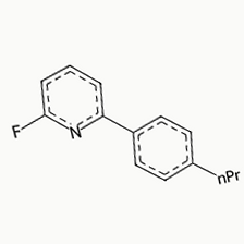 CCCc1ccc(-c2cccc(F)n2)cc1